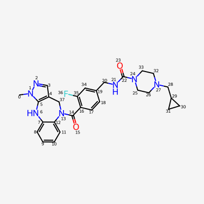 Cn1ncc2c1Nc1ccccc1N(C(=O)c1ccc(CNC(=O)N3CCN(CC4CC4)CC3)cc1F)C2